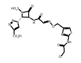 CCOC(=O)c1cn([C@H]2[C@H](NC(=O)C=NOCc3csc(NC(=O)CCl)n3)C(=O)N2S(=O)(=O)O)nn1